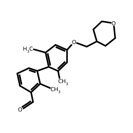 Cc1cc(OCC2CCOCC2)cc(C)c1-c1cccc(C=O)c1C